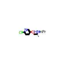 CCCN[C@H](C)COc1ccc(Cl)nc1